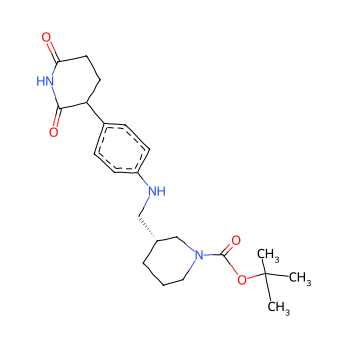 CC(C)(C)OC(=O)N1CCC[C@H](CNc2ccc(C3CCC(=O)NC3=O)cc2)C1